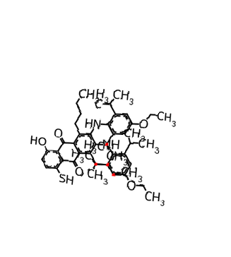 CCCCc1c(Nc2c(C(C)C)cc(OCC)cc2C(C)C)c(Nc2c(C(C)C)cc(OCC)cc2C(C)C)c(CCCC)c2c1C(=O)c1c(O)ccc(S)c1C2=O